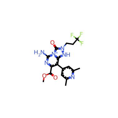 COC(=O)c1nc(N)[n+]2c(=O)n(CCC(F)(F)F)[nH]c2c1-c1cc(C)nc(C)c1